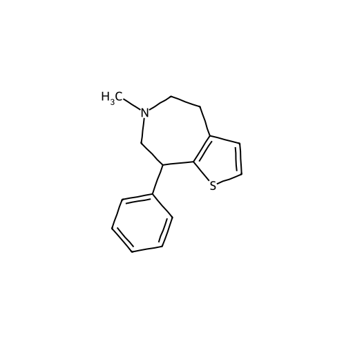 CN1CCc2ccsc2C(c2ccccc2)C1